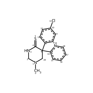 CN1CNC(=S)C(c2ccc(Cl)cc2)(c2ccccn2)C1